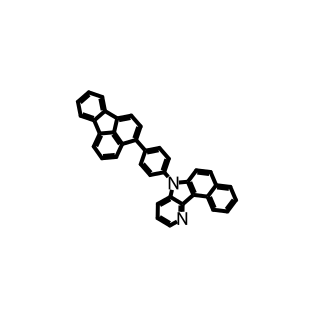 c1ccc2c(c1)-c1cccc3c(-c4ccc(-n5c6cccnc6c6c7ccccc7ccc65)cc4)ccc-2c13